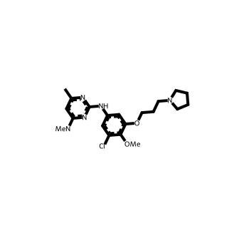 CNc1cc(C)nc(Nc2cc(Cl)c(OC)c(OCCCN3CCCC3)c2)n1